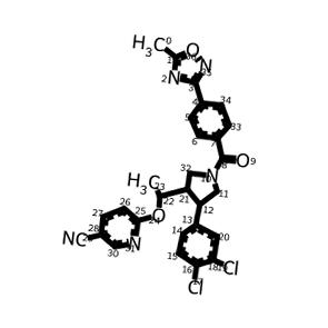 Cc1nc(-c2ccc(C(=O)N3CC(c4ccc(Cl)c(Cl)c4)C(C(C)Oc4ccc(C#N)cn4)C3)cc2)no1